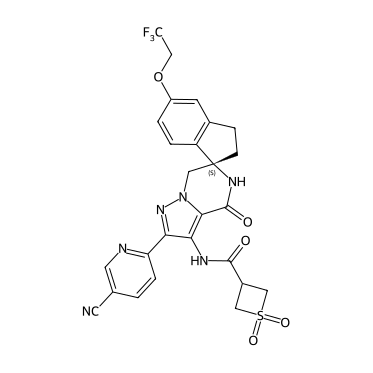 N#Cc1ccc(-c2nn3c(c2NC(=O)C2CS(=O)(=O)C2)C(=O)N[C@]2(CCc4cc(OCC(F)(F)F)ccc42)C3)nc1